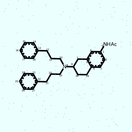 CC(=O)Nc1ccc2c(c1)CC(N(CCCc1ccccc1)CCCc1ccccc1)CC2